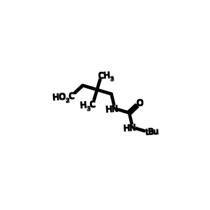 CC(C)(CNC(=O)NC(C)(C)C)CC(=O)O